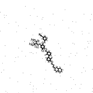 Cc1c(COc2cc(OCc3cncc(C#N)c3)c(CNC(C(=O)O)C(C)(C)O)cc2Cl)cccc1-c1cccc(OCCCN2CCC3OCCCC3C2)c1C